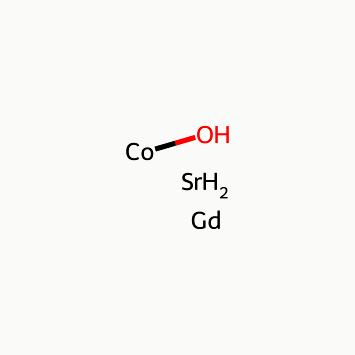 [Gd].[OH][Co].[SrH2]